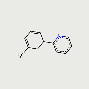 CC1=CC=CC(c2ccccn2)C1